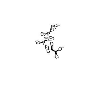 CCP(CC)CC.CCP(CC)CC.O=C([O-])C(=O)[O-].[Pt+2]